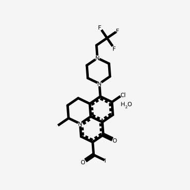 CC1CCc2c(N3CCN(CC(F)(F)F)CC3)c(Cl)cc3c(=O)c(C(=O)I)cn1c23.O